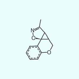 CC1=NO[C@]23c4ccccc4OCC2C13